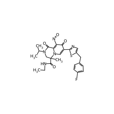 CCNC(=O)C1(C)CN(C(C)C)C(=O)c2c(N=O)c(=O)c(-c3ncc(Cc4ccc(F)cc4)s3)cn21